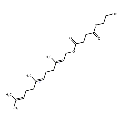 CC(C)=CCC/C(C)=C/CC/C(C)=C/COC(=O)CCC(=O)OCCO